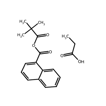 CC(C)(C)C(=O)OC(=O)c1cccc2ccccc12.CCC(=O)O